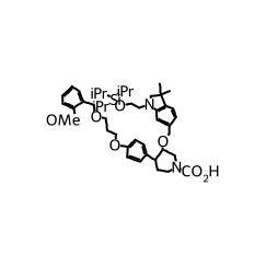 COc1ccccc1COCCCOc1ccc(C2CCN(C(=O)O)CC2OCc2ccc3c(c2)N(CCO[Si](C(C)C)(C(C)C)C(C)C)CC3(C)C)cc1